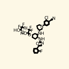 N#Cc1ccc(N2CCC[C@H](N[C@@H]3CCCC[C@H]3Nc3ncc(-c4ccccc4F)o3)C2)cc1Cl.O=C(O)C(F)(F)F.O=C(O)C(F)(F)F